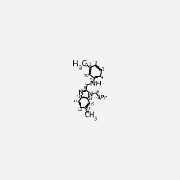 Cc1cccc(NCc2nc3ccc(C)cc3n2CC(C)C)c1